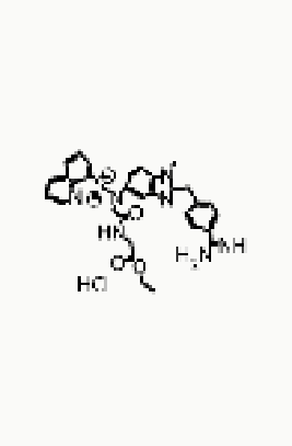 CCOC(=O)CNC(=O)CN(c1ccc2c(c1)nc(Cc1ccc(C(=N)N)cc1)n2C)S(=O)(=O)c1cccc2cccnc12.Cl